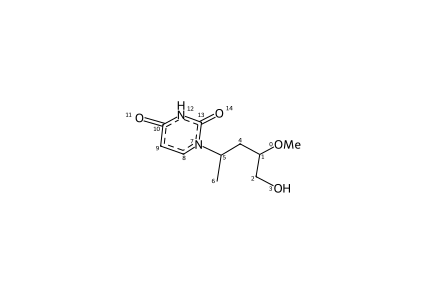 COC(CO)CC(C)n1ccc(=O)[nH]c1=O